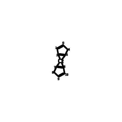 C1=C[C]2=[C](C1)[Cr]21[C]2=[C]1CC=C2